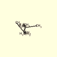 CCCCCCCCCCCCc1c[c]([Sn]([CH3])([CH3])[CH3])sc1/C=C/c1s[c]([Sn]([CH3])([CH3])[CH3])cc1CCCCCCCCCCCC